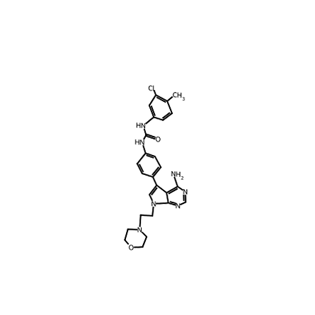 Cc1ccc(NC(=O)Nc2ccc(-c3cn(CCN4CCOCC4)c4ncnc(N)c34)cc2)cc1Cl